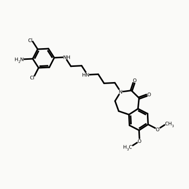 COc1cc2c(cc1OC)C(=O)C(=O)N(CCCNCCNc1cc(Cl)c(N)c(Cl)c1)CC2